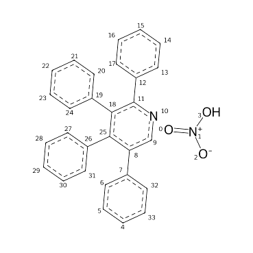 O=[N+]([O-])O.c1ccc(-c2cnc(-c3ccccc3)c(-c3ccccc3)c2-c2ccccc2)cc1